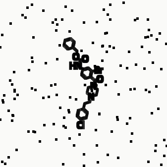 O=C(Nc1ccc(C(=O)N2CCN(CCc3ccc(Cl)cc3)CC2)c(Br)c1)OCc1ccccc1